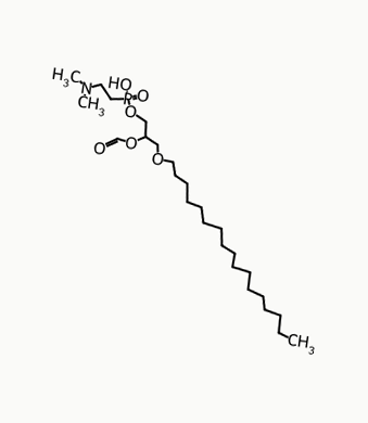 CCCCCCCCCCCCCCCCCOCC(COP(=O)(O)CCN(C)C)OC=O